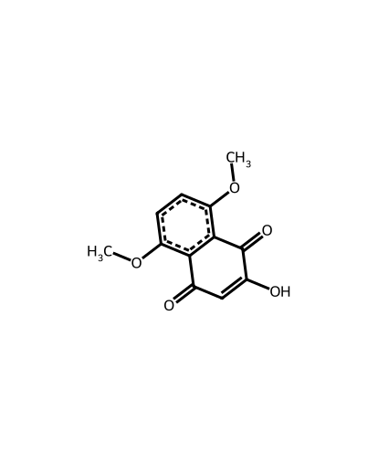 COc1ccc(OC)c2c1C(=O)C=C(O)C2=O